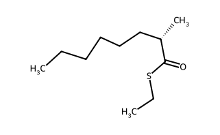 CCCCCC[C@H](C)C(=O)SCC